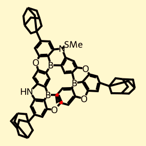 CSN1c2cc3c(cc2B2c4cc5c(cc4Oc4cc(C67CC8CC(CC(C8)C6)C7)cc1c42)Nc1cc(C24CC6CC(CC(C6)C2)C4)cc2c1B5c1ccccc1O2)B1c2ccccc2Oc2cc(C45CC6CC(CC(C6)C4)C5)cc(c21)O3